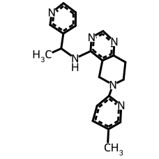 Cc1ccc(N2CCc3ncnc(NC(C)c4cccnc4)c3C2)nc1